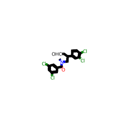 CN(CC(CC=O)c1ccc(Cl)c(Cl)c1)C(=O)c1cc(Cl)cc(Cl)c1